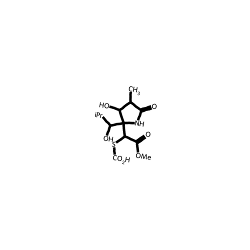 COC(=O)C(SC(=O)O)C1(C(O)C(C)C)NC(=O)C(C)C1O